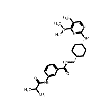 Cc1cnc(N[C@H]2CC[C@@H](CNC(=O)c3cccc(NC(=O)C(C)C)c3)CC2)nc1N(C)C